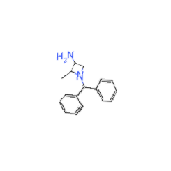 CC1C(N)CN1C(c1ccccc1)c1ccccc1